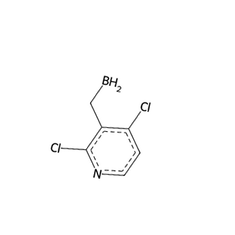 BCc1c(Cl)ccnc1Cl